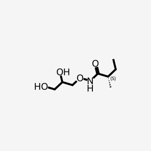 CC[C@H](C)C(=O)NOCC(O)CO